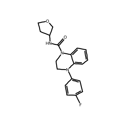 O=C(NC1CCOC1)N1CCN(c2ccc(F)cc2)c2ccccc21